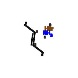 Br.CC=CC.N